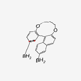 Bc1ccc2c3c(ccc2c1)OCCCOc1ccc2cc(B)ccc2c1-3